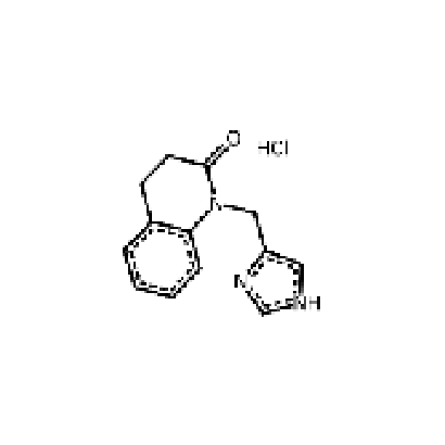 Cl.O=C1CCc2ccccc2N1Cc1c[nH]cn1